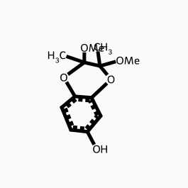 COC1(C)Oc2ccc(O)cc2OC1(C)OC